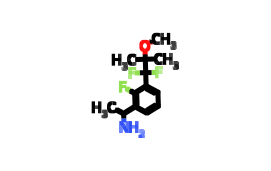 COC(C)(C)C(F)(F)c1cccc(C(C)N)c1F